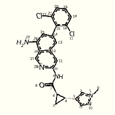 Cn1cc([C@@H]2C[C@H]2C(=O)Nc2cc3cc(-c4c(Cl)cccc4Cl)cc(N)c3cn2)cn1